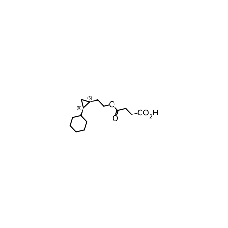 O=C(O)CCC(=O)OCC[C@@H]1C[C@@H]1C1CCCCC1